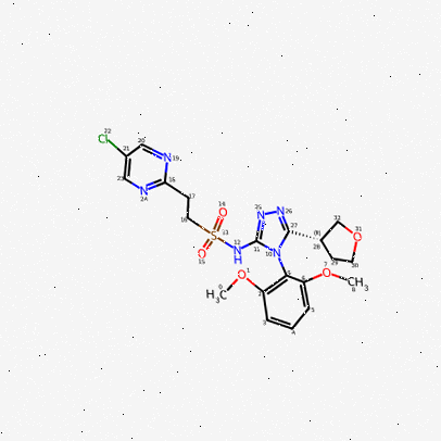 COc1cccc(OC)c1-n1c(NS(=O)(=O)CCc2ncc(Cl)cn2)nnc1[C@H]1CCOC1